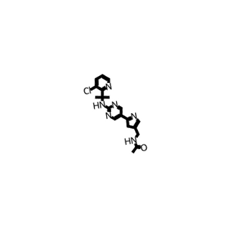 CC(=O)NCC1=CN=C(c2cnc(NC(C)(C)c3ncccc3Cl)nc2)C1